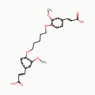 COc1cc(/C=C/C(=O)O)ccc1OCCCCCOc1ccc(/C=C/C(=O)O)cc1OC